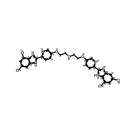 Clc1cc(Cl)c2[nH]c(-c3ccc(OCCOCCOc4ccc(-c5nc6cc(Cl)cc(Cl)c6[nH]5)nc4)cn3)nc2c1